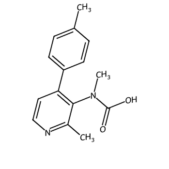 Cc1ccc(-c2ccnc(C)c2N(C)C(=O)O)cc1